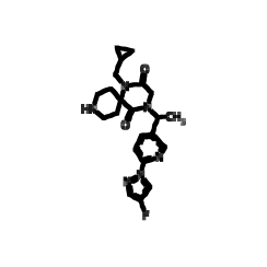 CC(c1ccc(-n2cc(F)cn2)nc1)N1CC(=O)N(CC2CC2)C2(CCNCC2)C1=O